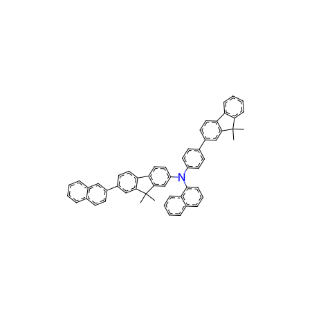 CC1(C)c2ccccc2-c2ccc(-c3ccc(N(c4ccc5c(c4)C(C)(C)c4cc(-c6ccc7ccccc7c6)ccc4-5)c4cccc5ccccc45)cc3)cc21